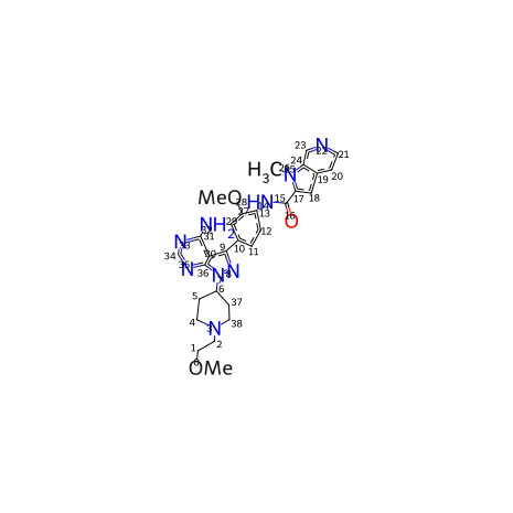 COCCN1CCC(n2nc(-c3ccc(NC(=O)c4cc5ccncc5n4C)c(OC)c3)c3c(N)ncnc32)CC1